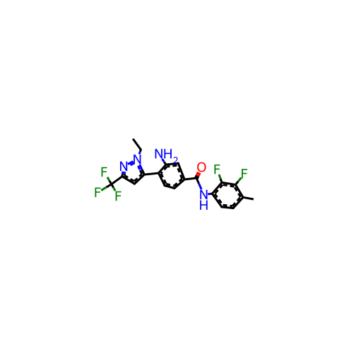 CCn1nc(C(F)(F)F)cc1-c1ccc(C(=O)Nc2ccc(C)c(F)c2F)cc1N